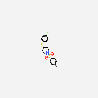 Cc1ccc(S(=O)(=O)N2CCC(Sc3ccc(F)cc3)CC2)cc1